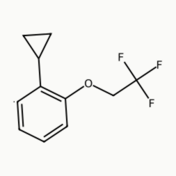 FC(F)(F)COc1ccc[c]c1C1CC1